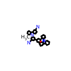 CC1CC=CC2c3cc(C#N)ccc3N(c3cc(C#N)cc(-c4cccc(-c5ccccc5-n5c6c(c7ccccc75)CCC=C6)c4)c3)C12